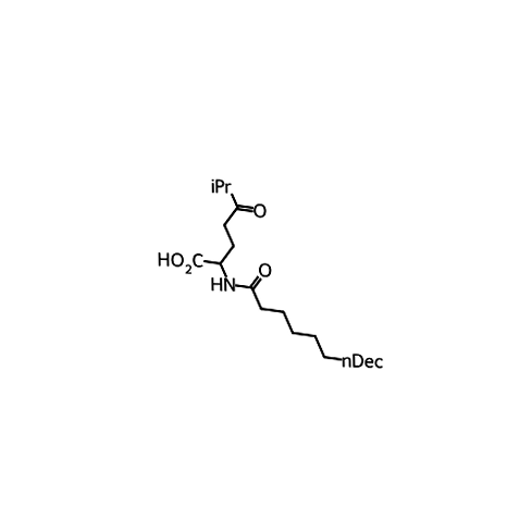 CCCCCCCCCCCCCCCC(=O)NC(CCC(=O)C(C)C)C(=O)O